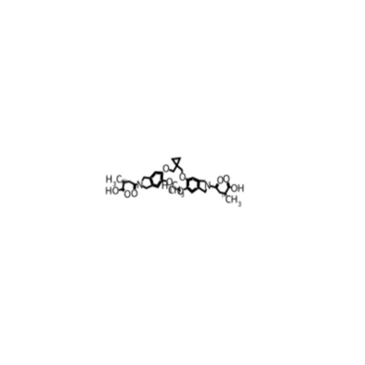 COc1cc2c(cc1OCC1(COc3cc4c(cc3OC)CN(C(=O)C[C@H](C)C(=O)O)C4)CC1)CN(C(=O)C[C@H](C)C(=O)O)C2